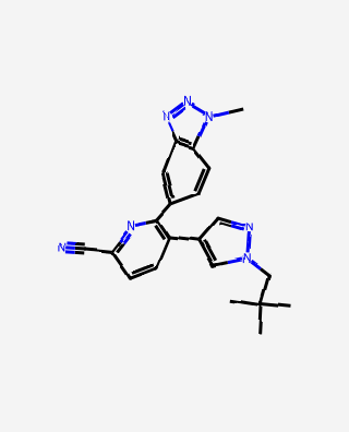 Cn1nnc2cc(-c3nc(C#N)ccc3-c3cnn(CC(C)(C)C)c3)ccc21